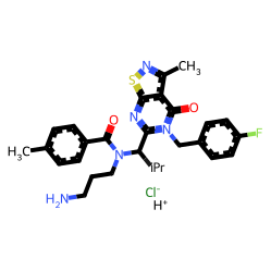 Cc1ccc(C(=O)N(CCCN)C(c2nc3snc(C)c3c(=O)n2Cc2ccc(F)cc2)C(C)C)cc1.[Cl-].[H+]